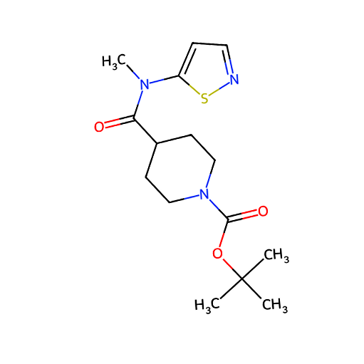 CN(C(=O)C1CCN(C(=O)OC(C)(C)C)CC1)c1ccns1